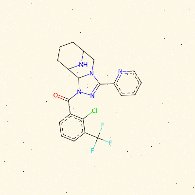 O=C(c1cccc(C(F)(F)F)c1Cl)N1N=C(c2ccccn2)N2CC3CCCC(N3)C21